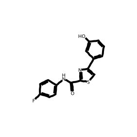 O=C(Nc1ccc(F)cc1)c1nc(-c2cccc(O)c2)cs1